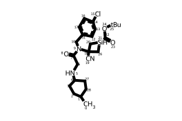 CC1CCC(NCC(=O)N(Cc2ccc(Cl)cc2)C2(C#N)C[SiH](C(=O)OC(C)(C)C)C2)CC1